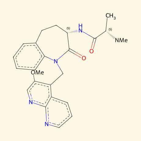 CN[C@@H](C)C(=O)N[C@H]1CCc2ccccc2N(Cc2c(OC)cnc3ncccc23)C1=O